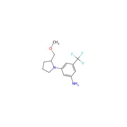 COCC1CCCN1c1cc(N)cc(C(F)(F)F)c1